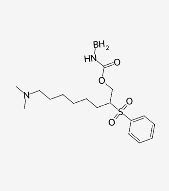 BNC(=O)OCC(CCCCCCN(C)C)S(=O)(=O)c1ccccc1